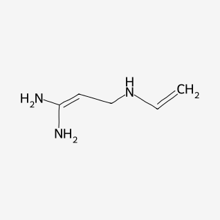 C=CNCC=C(N)N